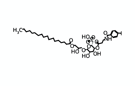 CCCCCCCCCCCCCCCCCC(=O)OCC(O)CO[C@H]1O[C@H](CS(=O)(=O)O)[C@@H](OC(=O)CCNC(=O)c2ccc(I)cc2)[C@H](O)[C@H]1O